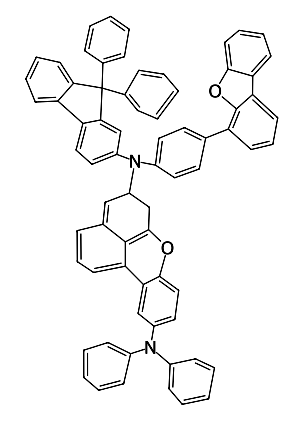 C1=c2cccc3c2=C(CC1N(c1ccc(-c2cccc4c2oc2ccccc24)cc1)c1ccc2c(c1)C(c1ccccc1)(c1ccccc1)c1ccccc1-2)Oc1ccc(N(c2ccccc2)c2ccccc2)cc1-3